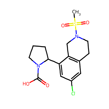 CS(=O)(=O)N1CCc2cc(Cl)cc(C3CCCN3C(=O)O)c2C1